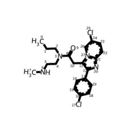 CCCN(CCNC)C(=O)Cc1c(-c2ccc(Cl)cc2)nc2ccc(Cl)cn12